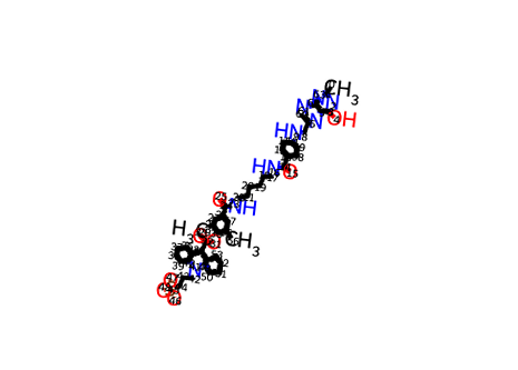 Cc1nc(O)c2nc(CNc3ccc(C(=O)NCCCCCCNC(=O)c4cc(C)c(OC(=O)c5c6ccccc6[n+](CCCS(=O)(=O)[O-])c6ccccc56)c(C)c4)cc3)cnc2n1